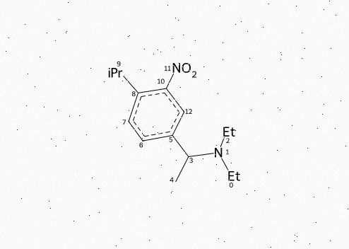 CCN(CC)C(C)c1ccc(C(C)C)c([N+](=O)[O-])c1